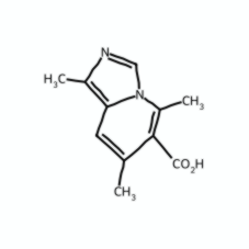 Cc1cc2c(C)ncn2c(C)c1C(=O)O